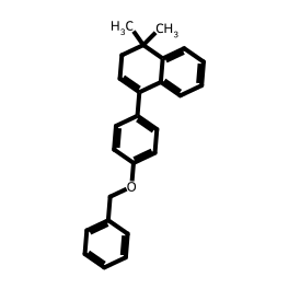 CC1(C)CC=C(c2ccc(OCc3ccccc3)cc2)c2ccccc21